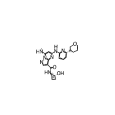 CNc1cc(Nc2cccc([C@H]3CCCOC3)n2)nc2c(C(=O)N[C@H]3CC[C@H]3O)cnn12